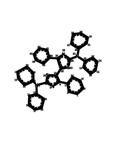 c1ccc(-c2nc(N(c3ccccc3)c3ccccc3)sc2-c2sc(N(c3ccccc3)c3ccccc3)nc2-c2ccccc2)cc1